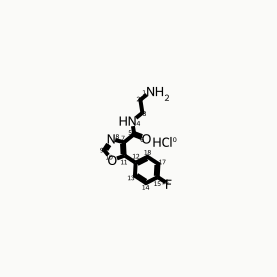 Cl.NCCNC(=O)c1ncoc1-c1ccc(F)cc1